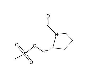 CS(=O)(=O)OC[C@H]1CCCN1C=O